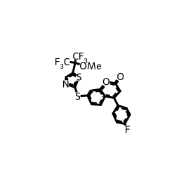 COC(c1cnc(Sc2ccc3c(-c4ccc(F)cc4)cc(=O)oc3c2)s1)(C(F)(F)F)C(F)(F)F